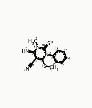 CSc1c(C#N)c(=N)n(C)c(=S)n1-c1ccccc1